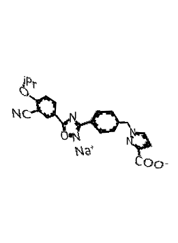 CC(C)Oc1ccc(-c2nc(-c3ccc(Cn4ccc(C(=O)[O-])n4)cc3)no2)cc1C#N.[Na+]